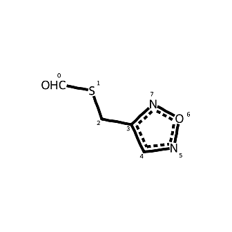 O=CSCc1cnon1